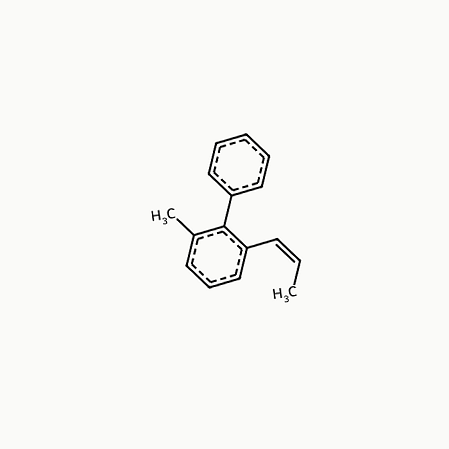 C/C=C\c1cccc(C)c1-c1ccccc1